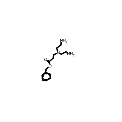 NCCN(CCN)CCC(=O)OCc1ccccc1